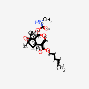 C=CCCCOC(=O)C1=CO[C@@H](OC(=O)NC)[C@@H]2[C@@H]1C[C@@H]1O[C@]21C